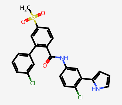 CS(=O)(=O)c1ccc(C(=O)Nc2ccc(Cl)c(-c3ccc[nH]3)c2)c(-c2cccc(Cl)c2)c1